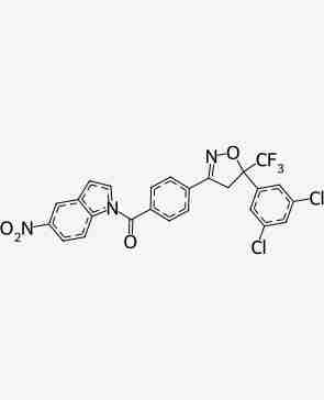 O=C(c1ccc(C2=NOC(c3cc(Cl)cc(Cl)c3)(C(F)(F)F)C2)cc1)n1ccc2cc([N+](=O)[O-])ccc21